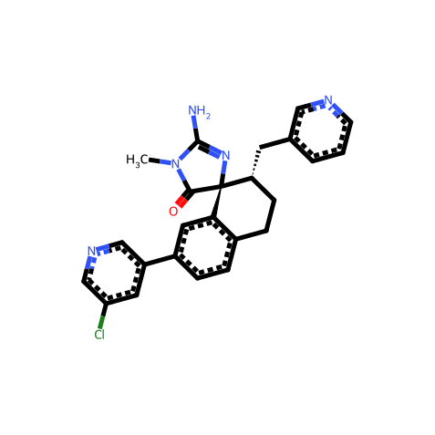 CN1C(=O)[C@@]2(N=C1N)c1cc(-c3cncc(Cl)c3)ccc1CC[C@H]2Cc1cccnc1